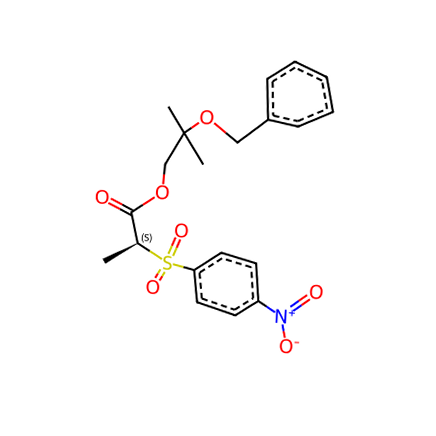 C[C@@H](C(=O)OCC(C)(C)OCc1ccccc1)S(=O)(=O)c1ccc([N+](=O)[O-])cc1